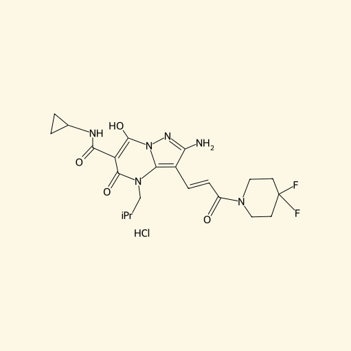 CC(C)Cn1c(=O)c(C(=O)NC2CC2)c(O)n2nc(N)c(/C=C/C(=O)N3CCC(F)(F)CC3)c12.Cl